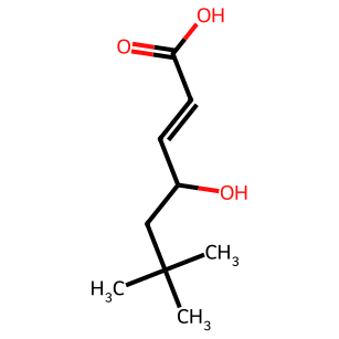 CC(C)(C)CC(O)/C=C/C(=O)O